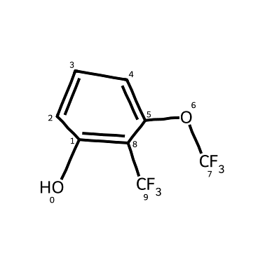 Oc1cccc(OC(F)(F)F)c1C(F)(F)F